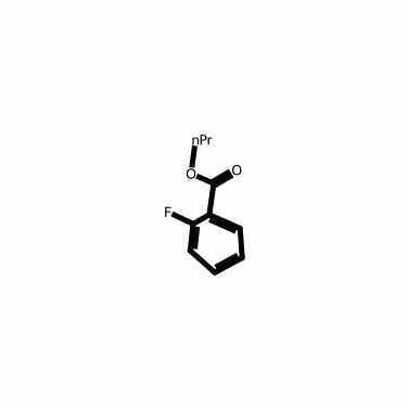 CCCOC(=O)c1ccccc1F